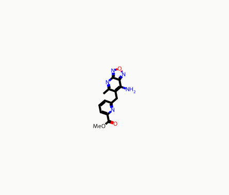 COC(=O)c1cccc(Cc2c(C)nc3nonc3c2N)n1